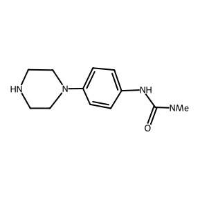 CNC(=O)Nc1ccc(N2CCNCC2)cc1